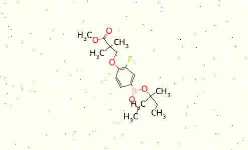 CCOB(OC(C)(C)CC)c1ccc(OCC(C)(C)C(=O)OC)c(F)c1